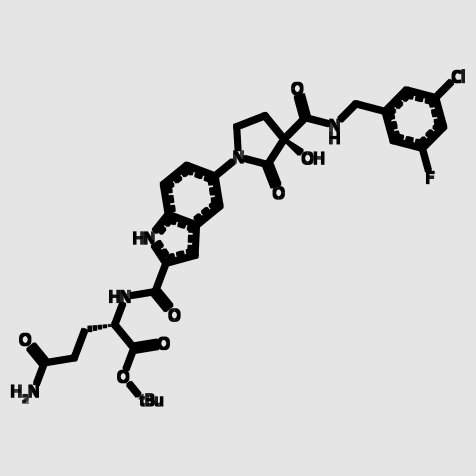 CC(C)(C)OC(=O)[C@H](CCC(N)=O)NC(=O)c1cc2cc(N3CC[C@](O)(C(=O)NCc4cc(F)cc(Cl)c4)C3=O)ccc2[nH]1